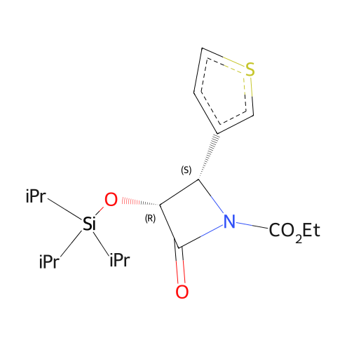 CCOC(=O)N1C(=O)[C@H](O[Si](C(C)C)(C(C)C)C(C)C)[C@@H]1c1ccsc1